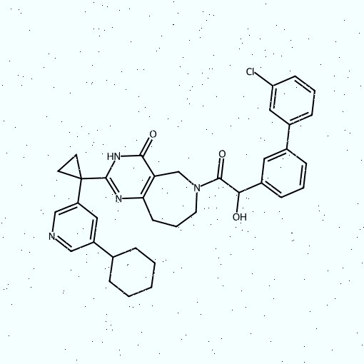 O=C(C(O)c1cccc(-c2cccc(Cl)c2)c1)N1CCCc2nc(C3(c4cncc(C5CCCCC5)c4)CC3)[nH]c(=O)c2C1